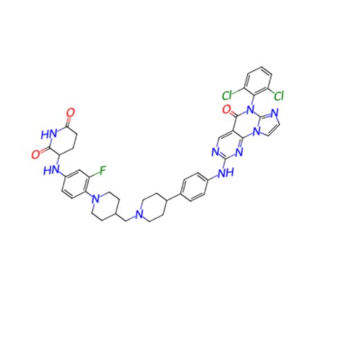 O=C1CCC(Nc2ccc(N3CCC(CN4CCC(c5ccc(Nc6ncc7c(=O)n(-c8c(Cl)cccc8Cl)c8nccn8c7n6)cc5)CC4)CC3)c(F)c2)C(=O)N1